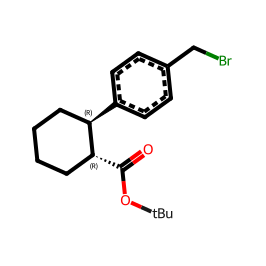 CC(C)(C)OC(=O)[C@@H]1CCCC[C@H]1c1ccc(CBr)cc1